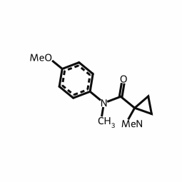 CNC1(C(=O)N(C)c2ccc(OC)cc2)CC1